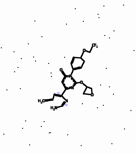 C=C/C=C(\N=C/N)c1cc(=O)n(C2=CCC(OCC(F)(F)F)C=C2)c(OC2COC2)n1